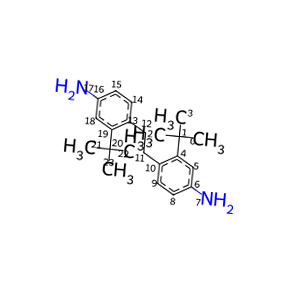 CC(C)(C)c1cc(N)ccc1CCc1ccc(N)cc1C(C)(C)C